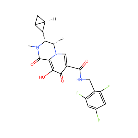 C[C@H]1[C@@H](C2C3C[C@H]32)N(C)C(=O)c2c(O)c(=O)c(C(=O)NCc3c(F)cc(F)cc3F)cn21